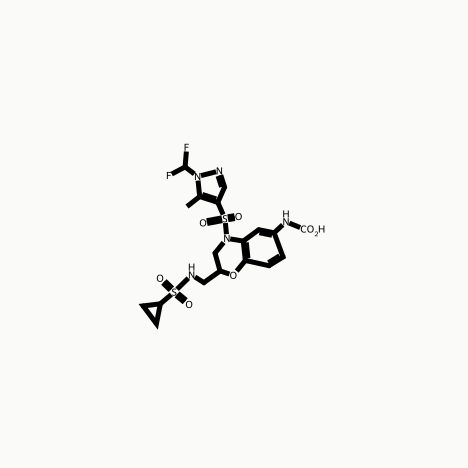 Cc1c(S(=O)(=O)N2CC(CNS(=O)(=O)C3CC3)Oc3ccc(NC(=O)O)cc32)cnn1C(F)F